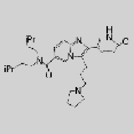 CC(C)CCN(CCC(C)C)C(=O)c1ccc2nc(-c3ccc(=O)[nH]c3)c(CCCN3CCCC3)n2c1